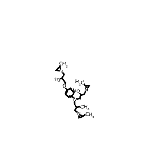 CC(CN(CC(O)CN1CC1C)c1ccc(OCC(O)CN2CC2C)cc1)CN1CC1C